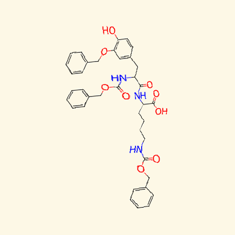 O=C(NCCCCC(NC(=O)C(Cc1ccc(O)c(OCc2ccccc2)c1)NC(=O)OCc1ccccc1)C(=O)O)OCc1ccccc1